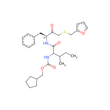 CCC(C)C(NC(=O)OCC1CCCC1)C(=O)N[C@@H](Cc1ccccc1)C(=O)CSCc1ccco1